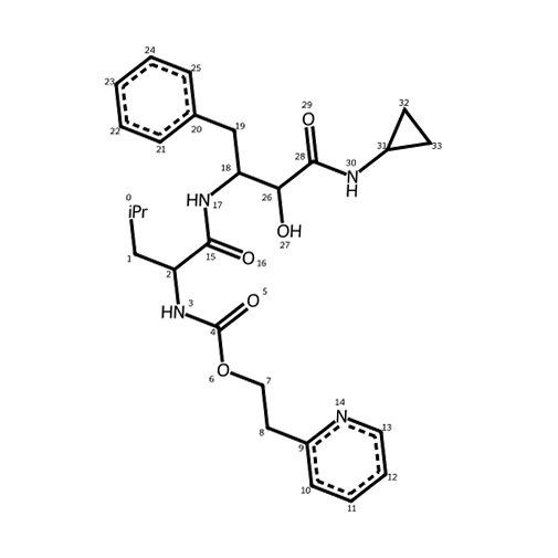 CC(C)CC(NC(=O)OCCc1ccccn1)C(=O)NC(Cc1ccccc1)C(O)C(=O)NC1CC1